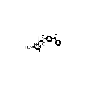 Cc1cc(N)nc(NC(=O)Nc2ccc(C(=O)c3ccccc3)cc2)n1